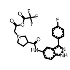 O=C(CN1CCC(C(=O)Nc2ccc3[nH]nc(-c4ccc(F)cc4)c3c2)C1)OC(=O)C(F)(F)F